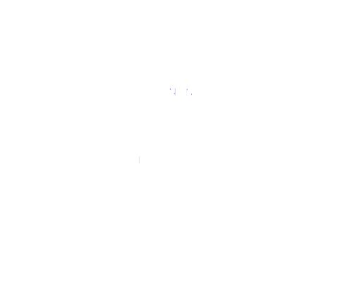 FC(F)c1cc(-c2cn[nH]c2)ccc1Cl